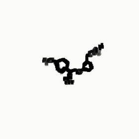 CCCON=C(COc1cccc(CC(=O)O)c1)c1ccc(C(F)(F)F)cc1